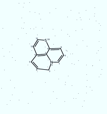 C1=CN2CC=CC3=C2C(=C1)SC=C3